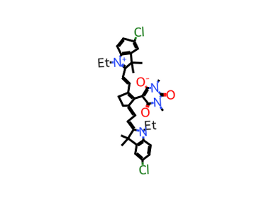 CCN1C(=CC=C2CCC(C=CC3=[N+](CC)c4ccc(Cl)cc4C3(C)C)=C2c2c([O-])n(C)c(=O)n(C)c2=O)C(C)(C)c2cc(Cl)ccc21